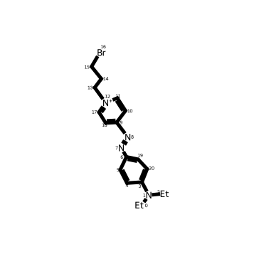 CCN(CC)c1ccc(/N=N/c2cc[n+](CCCBr)cc2)cc1